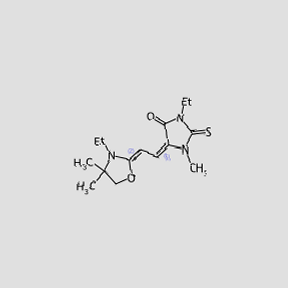 CCN1C(=O)/C(=C\C=C2/OCC(C)(C)N2CC)N(C)C1=S